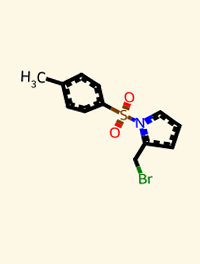 Cc1ccc(S(=O)(=O)n2cccc2CBr)cc1